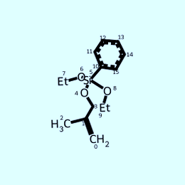 C=C(C)CO[Si](OCC)(OCC)c1ccccc1